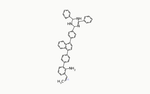 C/C=C\c1cccc(-c2ccc(-c3ccc(-c4ccc(C5N=C(c6ccccc6)NC(c6ccccc6)N5)cc4)c4ccccc34)cc2)c1N